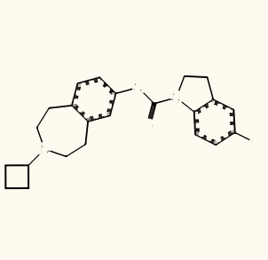 O=C(Nc1ccc2c(c1)CCN(C1CCC1)CC2)N1CCc2cc(Cl)ccc21